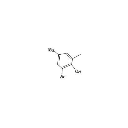 CC(=O)c1cc(C(C)(C)C)cc(C)c1O